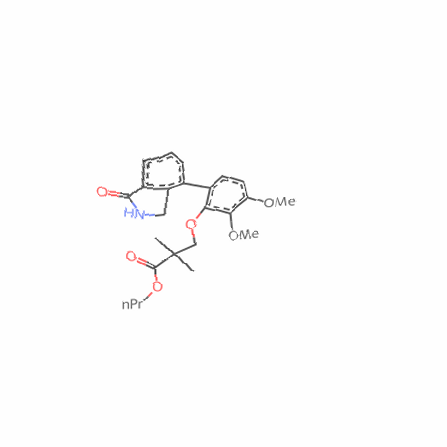 CCCOC(=O)C(C)(C)COc1c(-c2cccc3c2CNC3=O)ccc(OC)c1OC